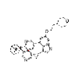 c1cncc(CN2C3CC2CN(c2ccc(-c4cc(OCCC5CCOCC5)cn5ncc(C6CC6)c45)cn2)C3)c1